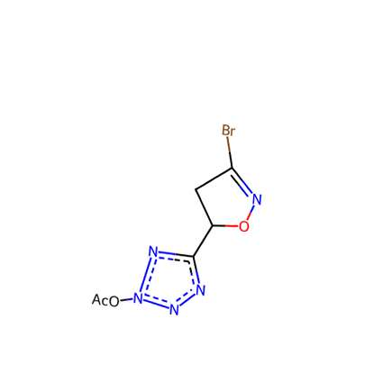 CC(=O)On1nnc(C2CC(Br)=NO2)n1